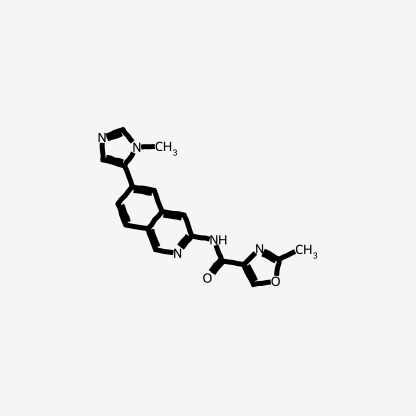 Cc1nc(C(=O)Nc2cc3cc(-c4cncn4C)ccc3cn2)co1